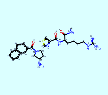 CNC(=O)C(CCCCNC(=N)N)NC(=O)c1csc([C@@H]2C[C@@H](N)CN2C(=O)c2ccc3ccccc3c2)n1